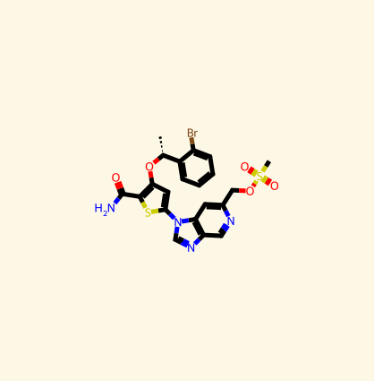 C[C@@H](Oc1cc(-n2cnc3cnc(COS(C)(=O)=O)cc32)sc1C(N)=O)c1ccccc1Br